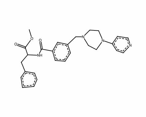 COC(=O)C(Cc1ccccc1)NC(=O)c1cccc(CN2CCN(c3ccncc3)CC2)c1